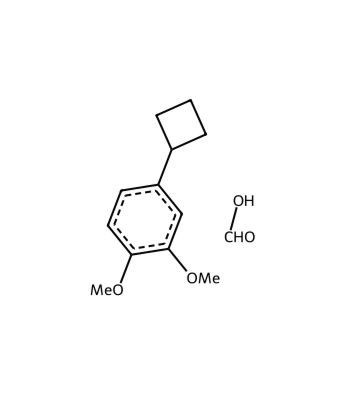 COc1ccc(C2CCC2)cc1OC.O=CO